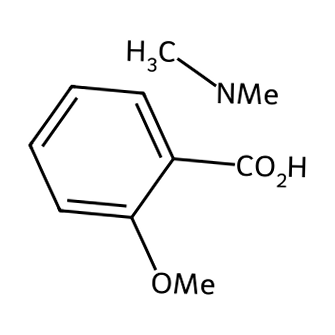 CNC.COc1ccccc1C(=O)O